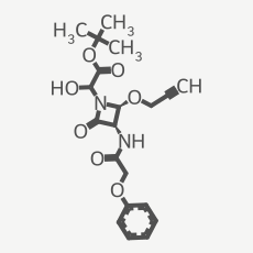 C#CCO[C@H]1[C@@H](NC(=O)COc2ccccc2)C(=O)N1C(O)C(=O)OC(C)(C)C